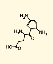 Nc1ccc(N)c(C(=O)C(N)CCC(=O)O)c1